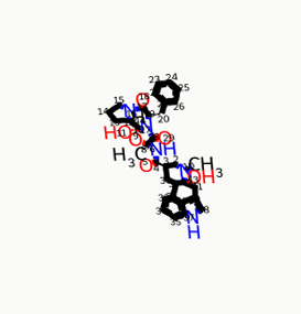 CN1C[C@H](C(=O)N[C@]2(C)O[C@@]3(O)[C@@H]4CCCN4C(=O)[C@H](Cc4ccccc4)N3C2=O)CC2c3cccc4[nH]cc(c34)CC21O